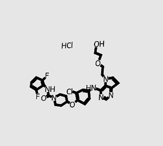 Cl.O=C(Nc1c(F)cccc1F)N1CCC(Oc2ccc(Nc3ncnc4ccn(CCOCCO)c34)cc2Cl)CC1